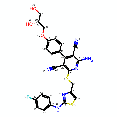 N#Cc1c(N)nc(SCc2csc(Nc3ccc(F)cc3)n2)c(C#N)c1-c1ccc(OC[C@H](O)CO)cc1